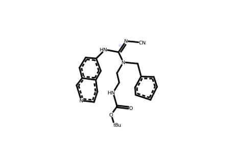 CC(C)(C)OC(=O)NCCN(Cc1ccccc1)/C(=N\C#N)Nc1ccc2cnccc2c1